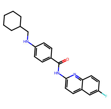 O=C(Nc1ccc2cc(F)ccc2n1)c1ccc(NCC2CCCCC2)cc1